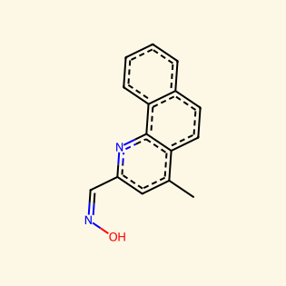 Cc1cc(/C=N\O)nc2c1ccc1ccccc12